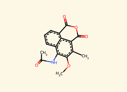 COc1c(C)c2c3c(cccc3c1NC(C)=O)C(=O)OC2=O